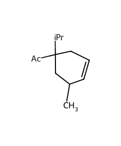 CC(=O)C1(C(C)C)CC=CC(C)C1